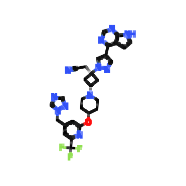 N#CC[C@]1(n2cc(-c3ncnc4[nH]ccc34)cn2)C[C@H](N2CCC(Oc3cc(Cn4cncn4)cc(C(F)(F)F)n3)CC2)C1